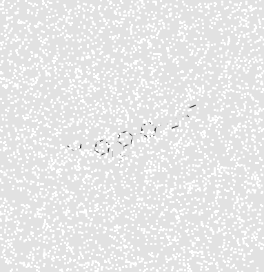 C=CC(=O)O/C=C\Oc1ccc(-c2ccc(-c3ccc(OC(=O)C=C)cc3)c(C(F)(F)F)c2)cc1